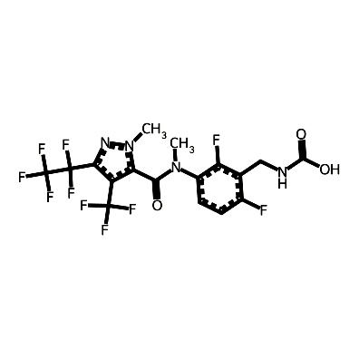 CN(C(=O)c1c(C(F)(F)F)c(C(F)(F)C(F)(F)F)nn1C)c1ccc(F)c(CNC(=O)O)c1F